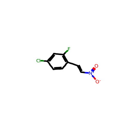 O=[N+]([O-])C=Cc1ccc(Cl)cc1F